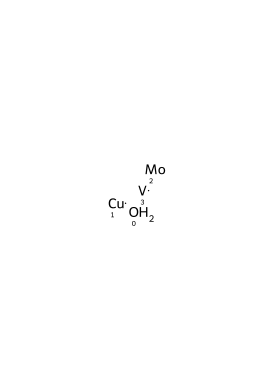 O.[Cu].[Mo].[V]